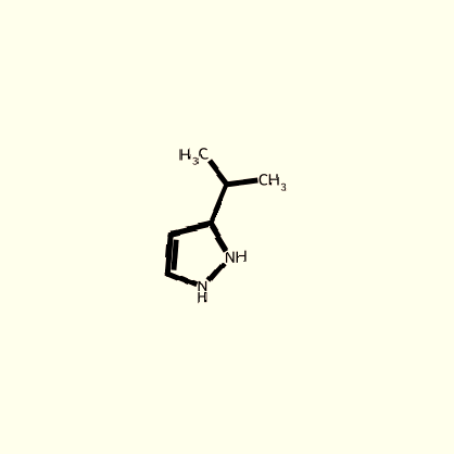 CC(C)C1C=CNN1